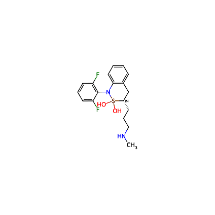 CNCCC[C@H]1Cc2ccccc2N(c2c(F)cccc2F)S1(O)O